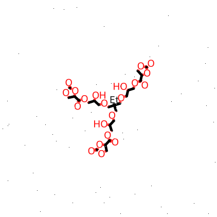 CCC(COCC(O)COC(=O)C1COC(=O)O1)(COCC(O)COC(=O)C1COC(=O)O1)COCC(O)COC(=O)C1COC(=O)O1